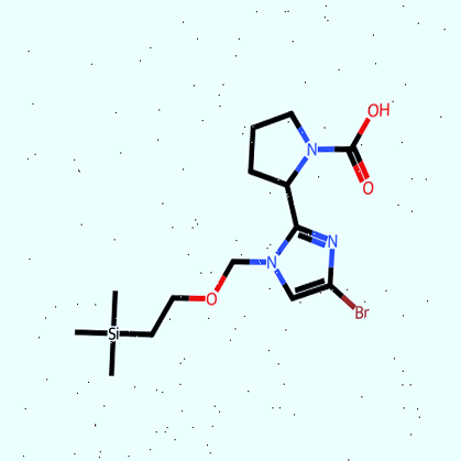 C[Si](C)(C)CCOCn1cc(Br)nc1C1CCCN1C(=O)O